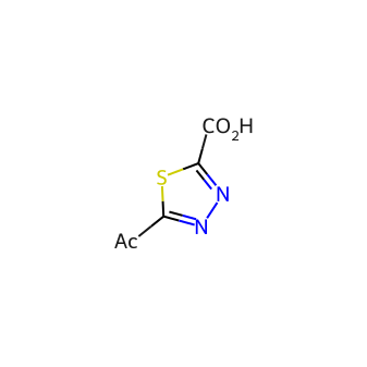 CC(=O)c1nnc(C(=O)O)s1